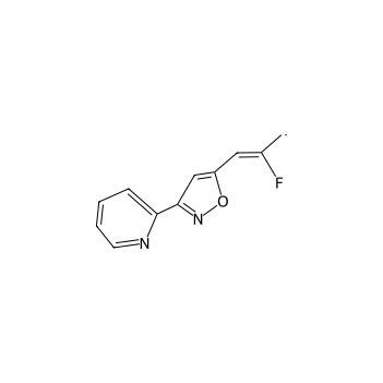 [CH2]/C(F)=C/c1cc(-c2ccccn2)no1